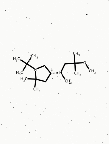 COC(C)(C)CN(C)[C@H]1CN(C(C)(C)C)C(C)(C)C1